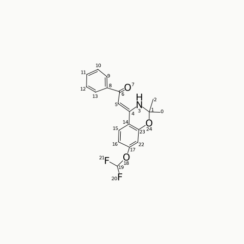 CC1(C)N/C(=C\C(=O)c2ccccc2)c2ccc(OC(F)F)cc2O1